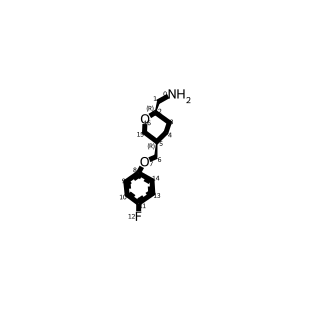 NC[C@H]1CC[C@@H](COc2ccc(F)cc2)CO1